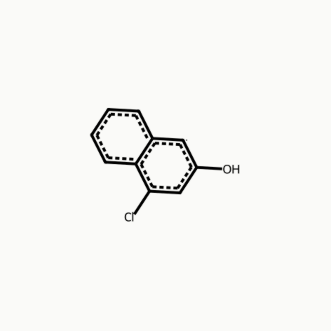 Oc1[c]c2ccccc2c(Cl)c1